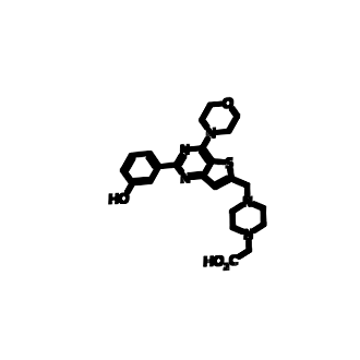 O=C(O)CN1CCN(Cc2cc3nc(-c4cccc(O)c4)nc(N4CCOCC4)c3s2)CC1